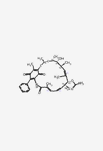 CC1=C2C[C@@H](C)C[C@H](C)[C@H](O)[C@@H](C)/C=C(\C)[C@H](OC(N)=O)[C@@H](C)/C=C\C=C(/C)C(=O)NC(=C(c3ccccc3)C1=O)C2=O